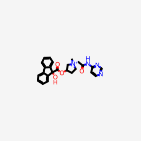 C[N+]1(CC(=O)Nc2ccncn2)CCC(OC(=O)C2(O)c3ccccc3-c3ccccc32)C1